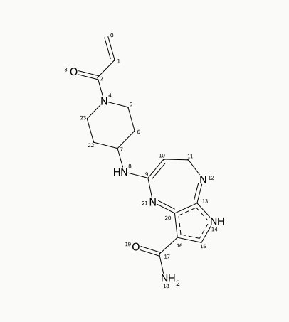 C=CC(=O)N1CCC(NC2=CCN=c3[nH]cc(C(N)=O)c3=N2)CC1